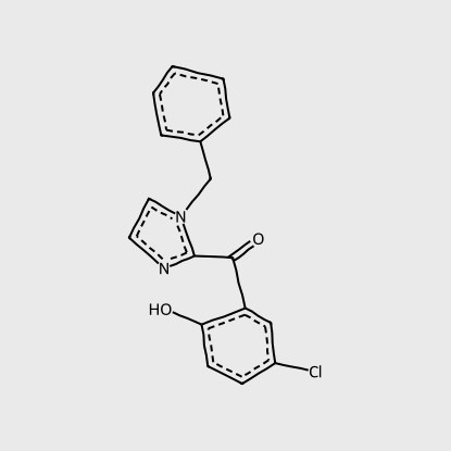 O=C(c1cc(Cl)ccc1O)c1nccn1Cc1ccccc1